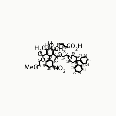 COCCOC(=O)C1=C(C)NC(C)=C(C(=O)OCCN2CCC(c3ccccc3)(c3ccccc3)CC2)C1c1cccc([N+](=O)[O-])c1.O=C(O)C=CC(=O)O